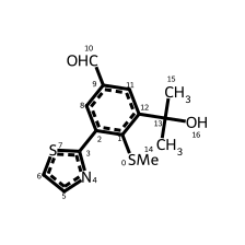 CSc1c(-c2nccs2)cc(C=O)cc1C(C)(C)O